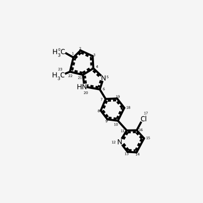 Cc1ccc2nc(-c3ccc(-c4ncccc4Cl)cc3)[nH]c2c1C